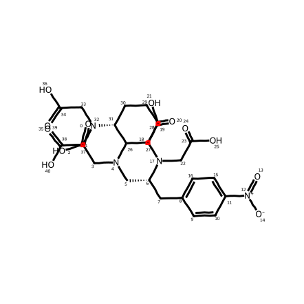 O=C(O)CN(C[C@@H](Cc1ccc([N+](=O)[O-])cc1)N(CC(=O)O)CC(=O)O)C1CCCC[C@H]1N(CC(=O)O)CC(=O)O